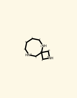 C1CCNC2(CNC1)CNC2